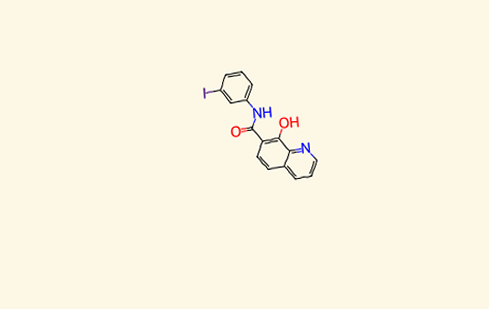 O=C(Nc1cccc(I)c1)c1ccc2cccnc2c1O